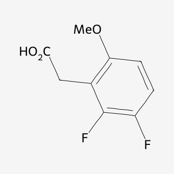 COc1ccc(F)c(F)c1CC(=O)O